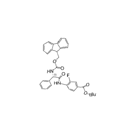 CC(C)(C)OC(=O)c1ccc(NC(=O)[C@@H](NC(=O)OCC2c3ccccc3-c3ccccc32)c2ccccc2)c(F)c1